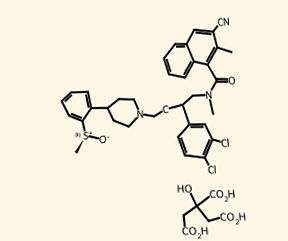 Cc1c(C#N)cc2ccccc2c1C(=O)N(C)CC(CCN1CCC(c2ccccc2[S@+](C)[O-])CC1)c1ccc(Cl)c(Cl)c1.O=C(O)CC(O)(CC(=O)O)C(=O)O